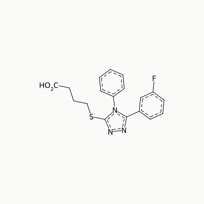 O=C(O)CCCSc1nnc(-c2cccc(F)c2)n1-c1ccccc1